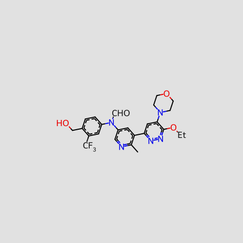 CCOc1nnc(-c2cc(N(C=O)c3ccc(CO)c(C(F)(F)F)c3)cnc2C)cc1N1CCOCC1